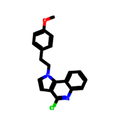 COc1ccc(CCn2ccc3c(Cl)nc4ccccc4c32)cc1